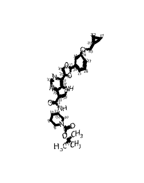 CC(C)(C)OC(=O)N1CCC[C@H](NC(=O)c2c[nH]c3c(C4=COC(c5cccc(OCC6CC6)c5)O4)ncnc23)C1